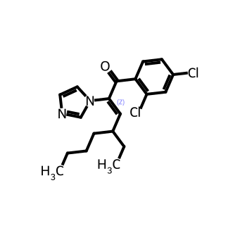 CCCCC(/C=C(/C(=O)c1ccc(Cl)cc1Cl)n1ccnc1)CC